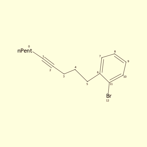 CCCCCC#CCCCc1ccccc1Br